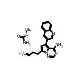 C=CCCc1cc(-c2cnc3ccccc3c2)c2c(N)ncnn12.CC(C)(C)OC(N)=O